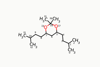 CC(C)CCC1CC(CCC(C)C)OC(C)(C)O1